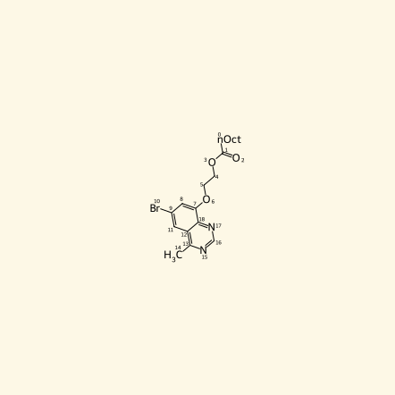 CCCCCCCCC(=O)OCCOc1cc(Br)cc2c(C)ncnc12